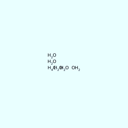 C.O.O.O.O.O